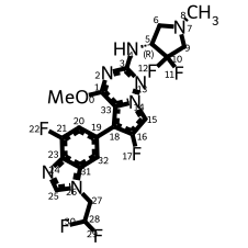 COc1nc(N[C@@H]2CN(C)CC2(F)F)nn2cc(F)c(-c3cc(F)c4ncn(CC(F)F)c4c3)c12